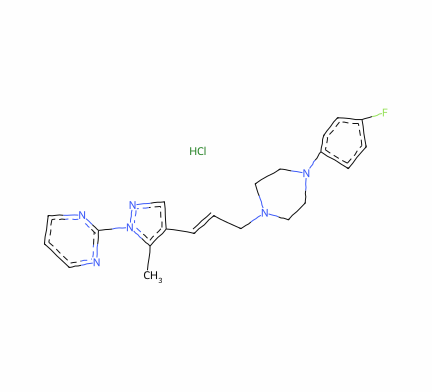 Cc1c(C=CCN2CCN(c3ccc(F)cc3)CC2)cnn1-c1ncccn1.Cl